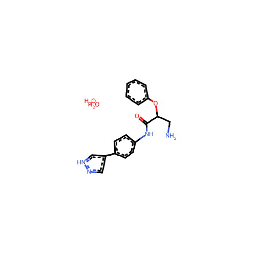 NCC(Oc1ccccc1)C(=O)Nc1ccc(-c2cn[nH]c2)cc1.O.O